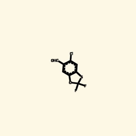 O=Cc1cc2c(cc1Cl)SC(F)(F)O2